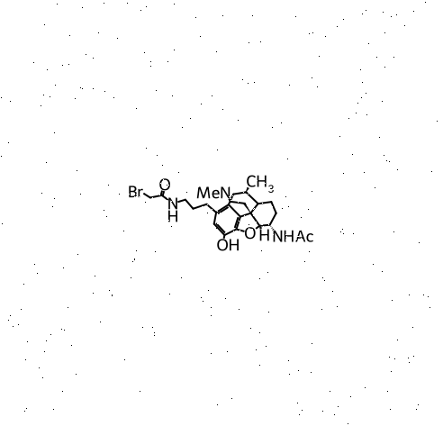 CNCC[C@]12c3c4c(CCCNC(=O)CBr)cc(O)c3O[C@H]1[C@@H](NC(C)=O)CCC2[C@H](C)C4